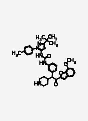 COc1cccc2cc(C(=O)C(c3cccc(NC(=O)Nc4cc(C(C)(C)C)nn4-c4ccc(C)cc4)c3)C3CCNCC3)oc12